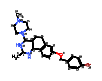 CC1NC2c3ccc(OCc4ccc(Br)cc4)cc3CCC2C(N2CCN(C)CC2)N1